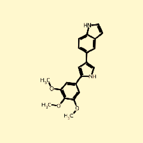 COc1cc(-c2cc(-c3ccc4[nH]ccc4c3)c[nH]2)cc(OC)c1OC